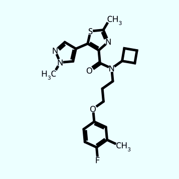 Cc1nc(C(=O)N(CCCOc2ccc(F)c(C)c2)C2CCC2)c(-c2cnn(C)c2)s1